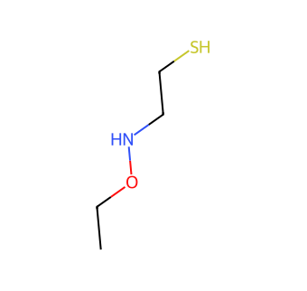 CCONCCS